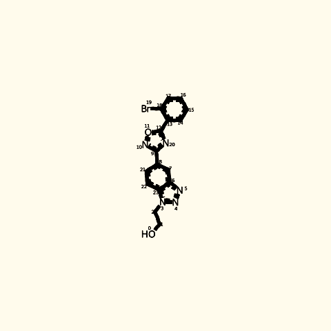 OCCn1nnc2cc(-c3noc(-c4ccccc4Br)n3)ccc21